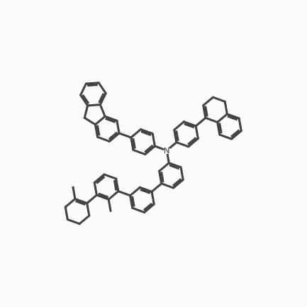 CC1=C(c2cccc(-c3cccc(-c4cccc(N(c5ccc(C6=CCCc7ccccc76)cc5)c5ccc(-c6ccc7c(c6)-c6ccccc6C7)cc5)c4)c3)c2C)CCCC1